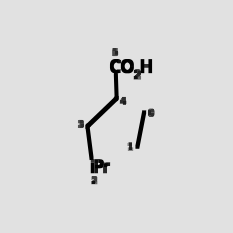 CC.CC(C)CCC(=O)O